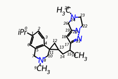 CC(C)c1ccc2c(c1)CN(C)CC21CC1CC(C)c1cc2n(n1)CCN(C)C2